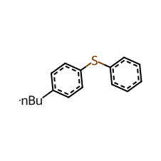 CCC[CH]c1ccc(Sc2ccccc2)cc1